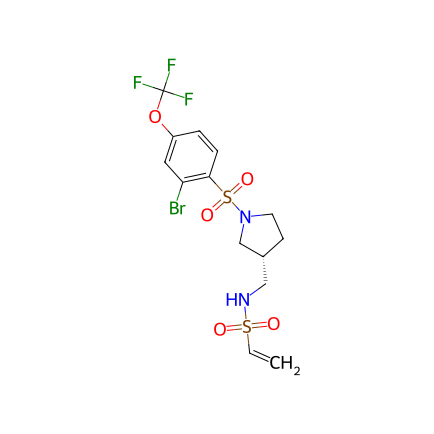 C=CS(=O)(=O)NC[C@H]1CCN(S(=O)(=O)c2ccc(OC(F)(F)F)cc2Br)C1